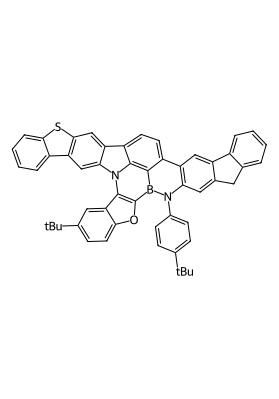 CC(C)(C)c1ccc(N2B3c4oc5ccc(C(C)(C)C)cc5c4-n4c5cc6c(cc5c5ccc(c3c54)-c3cc4c(cc32)Cc2ccccc2-4)sc2ccccc26)cc1